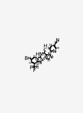 CC(Nc1nnc2c(C(F)(F)F)cc(Br)cn12)c1ncnn1-c1ccc(C#N)cn1